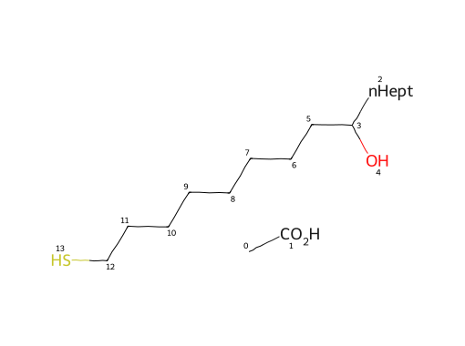 CC(=O)O.CCCCCCCC(O)CCCCCCCCS